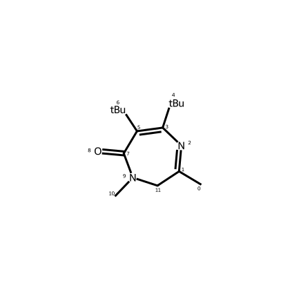 CC1=NC(C(C)(C)C)=C(C(C)(C)C)C(=O)N(C)C1